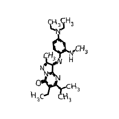 CCc1c(C(C)C)nc2n(c1=O)N=C(C)C2=Nc1ccc(N(CC)CC)cc1NC